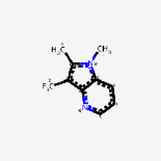 Cc1c(C(F)(F)F)c2ncccc2n1C